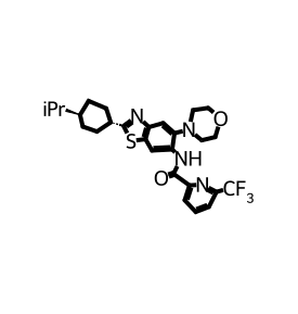 CC(C)[C@H]1CC[C@H](c2nc3cc(N4CCOCC4)c(NC(=O)c4cccc(C(F)(F)F)n4)cc3s2)CC1